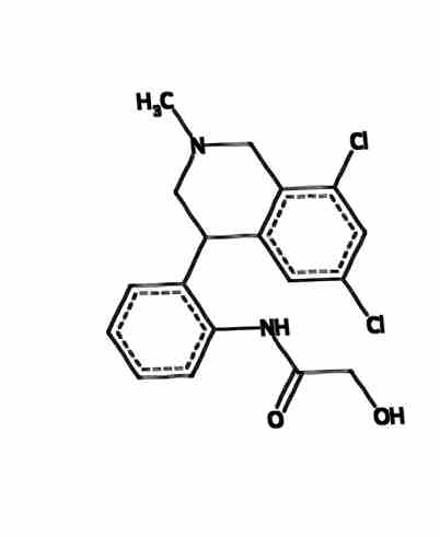 CN1Cc2c(Cl)cc(Cl)cc2C(c2ccccc2NC(=O)CO)C1